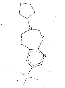 CC(C)(C)c1cnc2c(c1)CCN(C1CCCC1)CC2